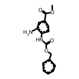 COC(=O)c1ccc(NC(=O)OCc2ccccc2)c(N)c1